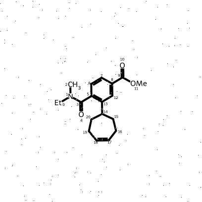 CCN(C)C(=O)c1ccc(C(=O)OC)cc1C1CCC=CCC1